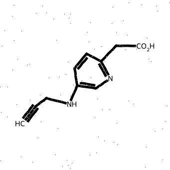 C#CCNc1ccc(CC(=O)O)nc1